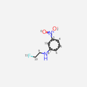 O=[N+]([O-])c1cccc(NCCF)c1